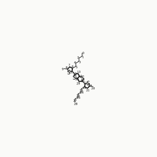 CCCCCCc1cc(C)sc1-c1cc2sc(-c3sc(C)cc3CCCCCC)cc2s1